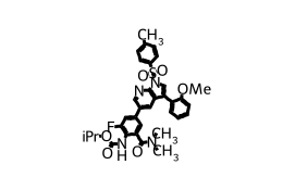 COc1ccccc1-c1cn(S(=O)(=O)c2ccc(C)cc2)c2ncc(-c3cc(F)c(NC(=O)OC(C)C)c(C(=O)N(C)C)c3)cc12